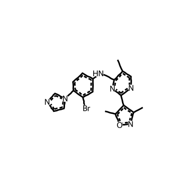 Cc1cnc(-c2c(C)noc2C)nc1Nc1ccc(-n2ccnc2)c(Br)c1